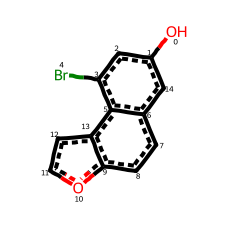 Oc1cc(Br)c2c(ccc3occc32)c1